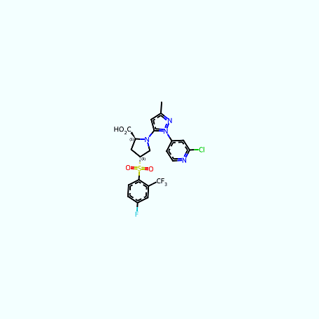 Cc1cc(N2C[C@H](S(=O)(=O)c3ccc(F)cc3C(F)(F)F)C[C@H]2C(=O)O)n(-c2ccnc(Cl)c2)n1